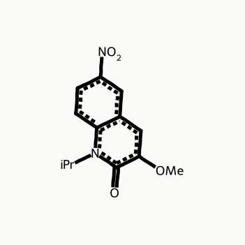 COc1cc2cc([N+](=O)[O-])ccc2n(C(C)C)c1=O